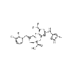 Cc1cc(Nc2cc(C(F)F)c(F)c(CC3(C(=O)O)CCN(Cc4cccc(Cl)c4F)CC3)n2)n[nH]1